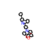 c1ccc(-c2ccc3nc(-c4ccc(N5c6ccccc6C6(c7ccccc7Oc7ccccc76)c6ccccc65)cc4)c4ccccc4c3c2)cc1